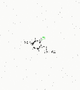 CC(=O)NCc1ccc(C#N)cc1Cl